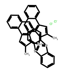 CC1=Cc2c(ccc3ccccc23)[CH]1[Zr+2]1([CH]2C(C)=Cc3c2ccc2ccccc32)=[Si]2c3ccccc3[Si]=1c1ccccc12.[Cl-].[Cl-]